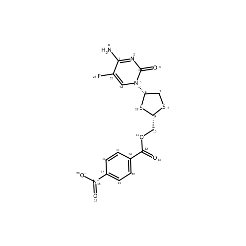 Nc1nc(=O)n([C@@H]2CS[C@H](COC(=O)c3ccc([N+](=O)[O-])cc3)S2)cc1F